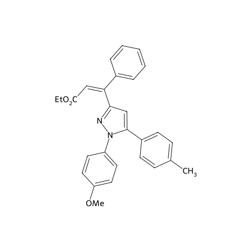 CCOC(=O)C=C(c1ccccc1)c1cc(-c2ccc(C)cc2)n(-c2ccc(OC)cc2)n1